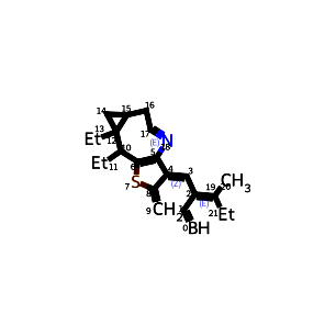 B=CC(/C=c1/c2c(sc1=C)C(CC)C1(CC)CC1C/C=N/2)=C(/C)CC